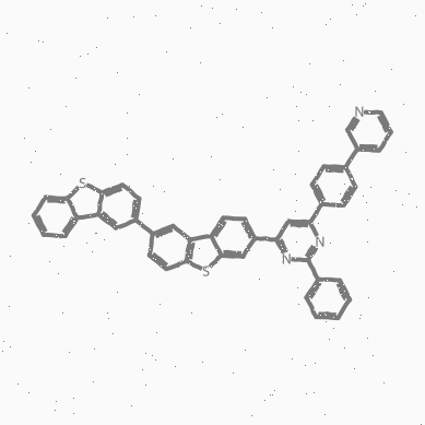 c1ccc(-c2nc(-c3ccc(-c4cccnc4)cc3)cc(-c3ccc4c(c3)sc3ccc(-c5ccc6sc7ccccc7c6c5)cc34)n2)cc1